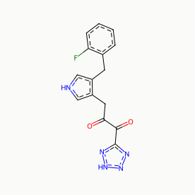 O=C(Cc1c[nH]cc1Cc1ccccc1F)C(=O)c1nn[nH]n1